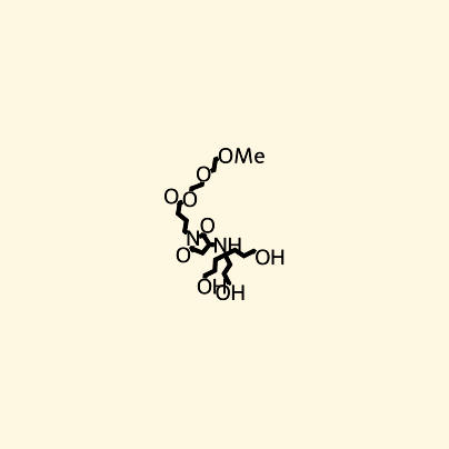 COCCOCCOC(=O)CCCN1C(=O)CC(NC(CCCO)(CCCO)CCCO)C1=O